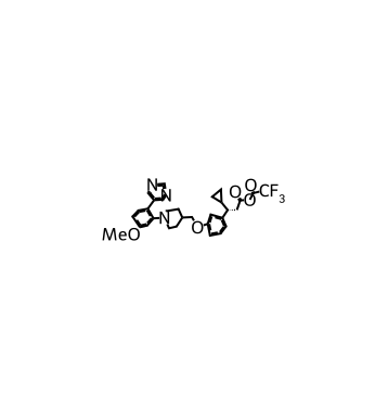 COc1ccc(-c2cncnc2)c(N2CCC(COc3cccc([C@@H](CC(=O)OC(=O)C(F)(F)F)C4CC4)c3)CC2)c1